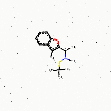 Cc1c([C@@H](C)N(C)SC(C)(C)C)oc2ccccc12